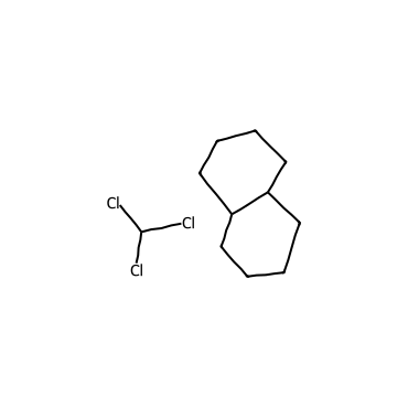 C1CCC2CCCCC2C1.ClC(Cl)Cl